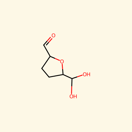 O=CC1CCC(C(O)O)O1